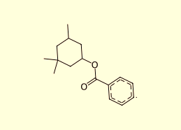 CC1CC(OC(=O)c2cc[c]cc2)CC(C)(C)C1